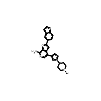 CC(=O)N1CCC(n2cc(-c3cnc(N)c4oc(-c5ccc6sccc6c5)cc34)cn2)CC1